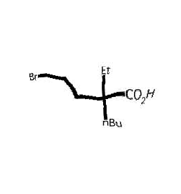 CCCCC(CC)(CCBr)C(=O)O